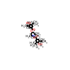 CC(C)(C)c1cc(C(=O)OC2CC(C)(C)N(OC(=O)c3cc(C(C)(C)C)c(O)c(C(C)(C)C)c3)C(C)(C)C2)cc(C(C)(C)C)c1O